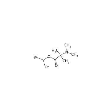 CC(C)C(OC(=O)C(C)(C)N(C)C)C(C)C